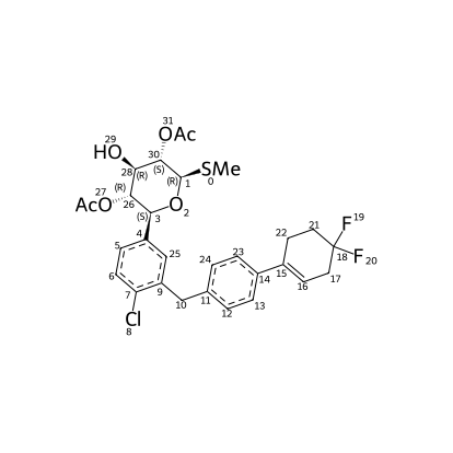 CS[C@H]1O[C@@H](c2ccc(Cl)c(Cc3ccc(C4=CCC(F)(F)CC4)cc3)c2)[C@H](OC(C)=O)[C@@H](O)[C@@H]1OC(C)=O